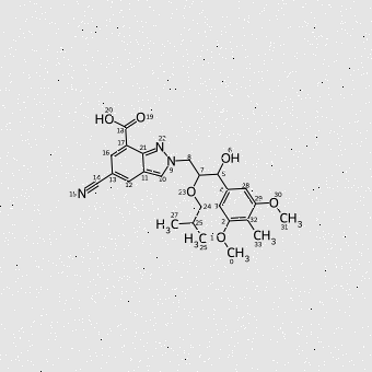 COc1cc(C(O)C(Cn2cc3cc(C#N)cc(C(=O)O)c3n2)OCC(C)C)cc(OC)c1C